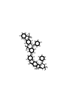 CC1(C)C=c2[nH]c3cc4c(cc3c2C(c2ccccc2)C1)-c1cc(-c2ccc3c(c2)C(C)(C)c2cc5c(cc2N3c2ccccc2)C(C)(C)c2ccccc2-5)ccc1C=4